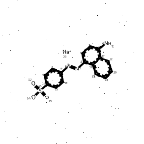 Nc1ccc(N=Nc2ccc(S(=O)(=O)[O-])cc2)c2ccccc12.[Na+]